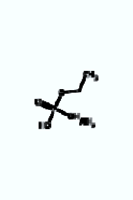 CCOP(=O)(O)O.[AlH3]